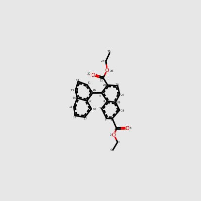 CCOC(=O)c1ccc2c(-c3cccc4ccccc34)c(C(=O)OCC)ccc2c1